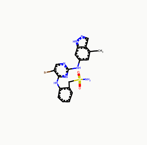 Cc1cc(Nc2ncc(Br)c(Nc3ccccc3CS(N)(=O)=O)n2)cc2[nH]ncc12